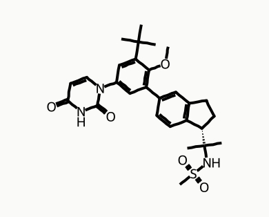 COc1c(-c2ccc3c(c2)CC[C@@H]3C(C)(C)NS(C)(=O)=O)cc(-n2ccc(=O)[nH]c2=O)cc1C(C)(C)C